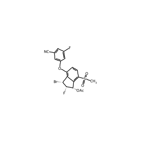 CC(=O)O[C@H]1c2c(S(C)(=O)=O)ccc(Oc3cc(F)cc(C#N)c3)c2[C@@H](Br)[C@H]1F